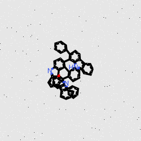 c1ccc(-c2ccccc2-c2ccccc2-c2c(-c3c(-c4ccccc4)ccc4c3[nH]c3ccccc34)ccc3c2-c2c4c(ccc2=N3)=c2ccccc2=N4)cc1